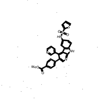 COC(=O)c1ccc(-c2cnc3[nH]c4ccc(NS(=O)(=O)c5cccs5)cc4c3c2-c2cccnc2)cc1